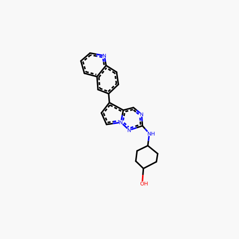 OC1CCC(Nc2ncc3c(-c4ccc5ncccc5c4)ccn3n2)CC1